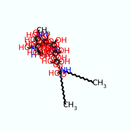 CCCCCCCCCCCCC/C=C/[C@@H](O)[C@H](CO[C@@H]1OC(CO)[C@@H](O[C@@H]2OC(CO)[C@H](O[C@@H]3OC(CO)[C@H](O)[C@H](O[C@@H]4OC(CO)[C@H](O[C@@H]5OC(CO)[C@H](O)[C@H](O)C5NC(C)=O)[C@H](O[C@]5(C(=O)O)CC(O)[C@@H](NC(=O)CO)C([C@H](O)[C@H](O)CO)O5)C4O)C3NC(C)=O)[C@H](O)C2O)[C@H](O)C1O)NC(=O)CCCCCCCCCCCCCCC